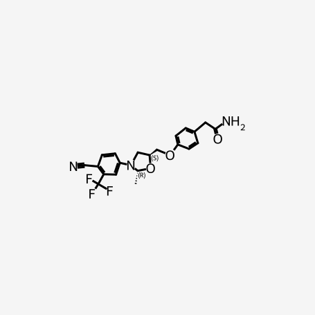 C[C@H]1O[C@H](COc2ccc(CC(N)=O)cc2)CN1c1ccc(C#N)c(C(F)(F)F)c1